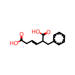 O=C(O)C/C=C/C(Cc1ccccc1)C(=O)O